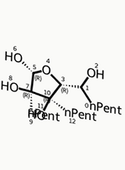 CCCCCC(O)[C@H]1O[C@@H](O)[C@@](O)(CCCCC)[C@@]1(O)CCCCC